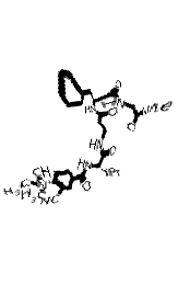 CNC(=O)CNC(=O)[C@H](Cc1ccccc1)NC(=O)CCNC(=O)[C@@H](NC(=O)c1ccc([N+](C)(C)C)c(C#N)c1)C(C)C